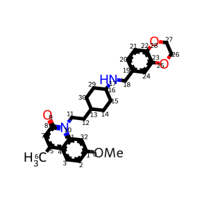 COc1ccc2c(C)cc(=O)n(CCC3CCC(NCc4ccc5c(c4)OCCO5)CC3)c2c1